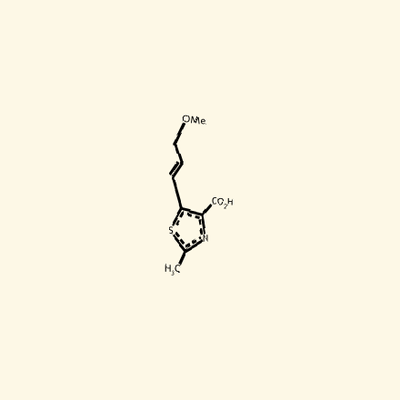 COCC=Cc1sc(C)nc1C(=O)O